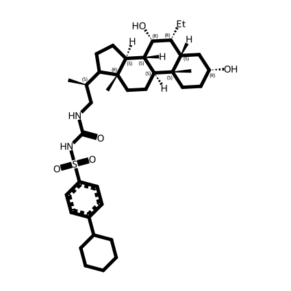 CC[C@H]1[C@@H](O)[C@@H]2[C@H](CC[C@]3(C)C([C@H](C)CNC(=O)NS(=O)(=O)c4ccc(C5CCCCC5)cc4)CC[C@@H]23)[C@@]2(C)CC[C@@H](O)C[C@@H]12